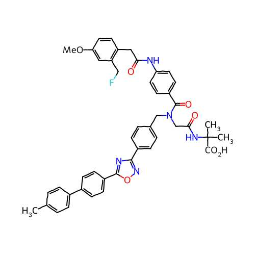 COc1ccc(CC(=O)Nc2ccc(C(=O)N(CC(=O)NC(C)(C)C(=O)O)Cc3ccc(-c4noc(-c5ccc(-c6ccc(C)cc6)cc5)n4)cc3)cc2)c(CF)c1